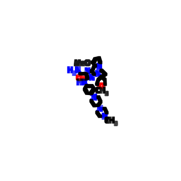 COc1cccnc1-c1nc(C(N)O)c(Nc2ccc(N3CCC(N4CCN(C)CC4)CC3)c(C)c2)nc1N1CCC12CCOCC2